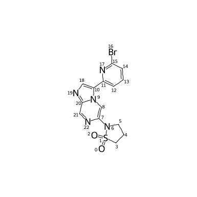 O=S1(=O)CCCN1c1cn2c(-c3cccc(Br)n3)cnc2cn1